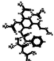 COC[C@H](F)C1O[C@@H](O[P@](=O)(N[C@@H](C)C(=O)OC(C)C)Oc2ccccc2)C(OC(C)=O)C(OC(C)=O)[C@@H]1OC(C)=O